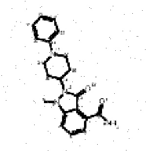 Cn1c2cccc(C(N)=O)c2c(=O)n1C1CCN(c2ccccc2)CC1